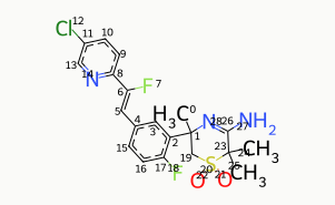 CC1(c2cc(C=C(F)c3ccc(Cl)cn3)ccc2F)CS(=O)(=O)C(C)(C)C(N)=N1